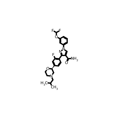 C[C](C)CN1CCO[C@@H](c2ccc(-c3nn(-c4cccc(OC(F)F)c4)cc3C(N)=O)c(F)c2)C1